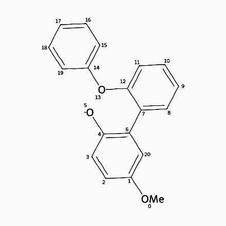 COc1ccc([O])c(-c2ccccc2Oc2ccccc2)c1